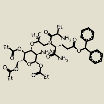 CCC(=O)OC[C@H]1O[C@H](OC(=O)CC)[C@H](NC(C)=O)[C@@H](OC(C)CN(C(=O)C(N)CC)[C@H](CCC(=O)OC(c2ccccc2)c2ccccc2)C(N)=O)[C@@H]1OC(=O)CC